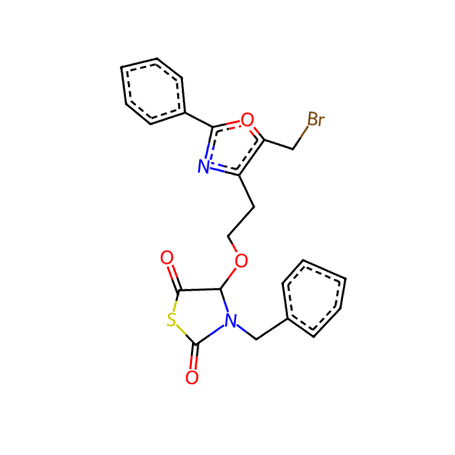 O=C1SC(=O)N(Cc2ccccc2)C1OCCc1nc(-c2ccccc2)oc1CBr